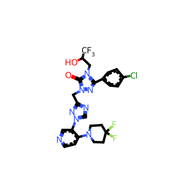 O=c1n(Cc2ncn(-c3cnccc3N3CCC(F)(F)CC3)n2)nc(-c2ccc(Cl)cc2)n1CC(O)C(F)(F)F